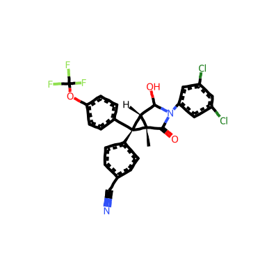 C[C@]12C(=O)N(c3cc(Cl)cc(Cl)c3)C(O)[C@H]1[C@@]2(c1ccc(C#N)cc1)c1ccc(OC(F)(F)F)cc1